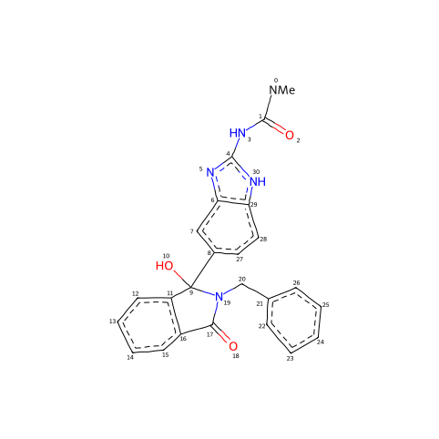 CNC(=O)Nc1nc2cc(C3(O)c4ccccc4C(=O)N3Cc3ccccc3)ccc2[nH]1